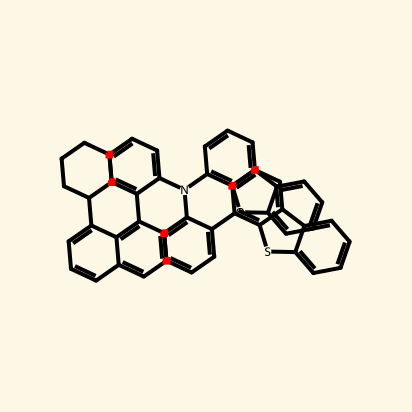 c1ccc(N(c2ccccc2-c2cccc3cccc(C4CCCCC4)c23)c2cccc3c2oc2ccccc23)c(-c2cccc3c2sc2ccccc23)c1